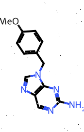 COc1ccc(Cn2cnc3cnc(N)nc32)cc1